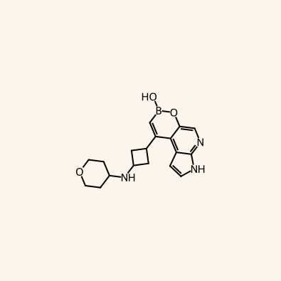 OB1C=C(C2CC(NC3CCOCC3)C2)c2c(cnc3[nH]ccc23)O1